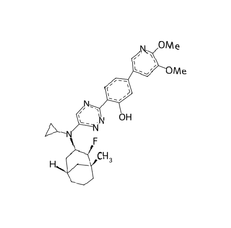 COc1cc(-c2ccc(-c3ncc(N(C4CC4)[C@@H]4C[C@H]5CCC[C@](C)(C5)[C@@H]4F)nn3)c(O)c2)cnc1OC